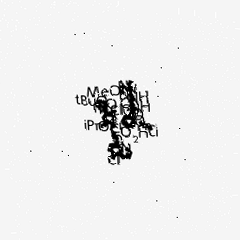 CC(C)Oc1cc(-n2nc(C(C)(C)C)oc2=O)c(Cl)cc1Cl.COc1nc(C)nc(NC(=O)NS(=O)(=O)c2ccccc2OCCCl)n1.O=C(O)COc1ccc(Cl)c2cccnc12